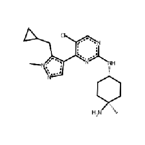 Cn1ncc(-c2nc(N[C@H]3CC[C@](C)(N)CC3)ncc2Cl)c1CC1CC1